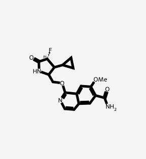 COc1cc2c(OCC3NC(=O)[C@H](F)C3C3CC3)nccc2cc1C(N)=O